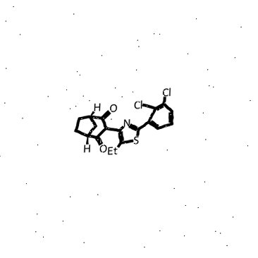 CCc1sc(-c2cccc(Cl)c2Cl)nc1C1C(=O)[C@@H]2CC[C@@H](C2)C1=O